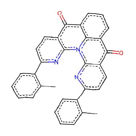 Cc1ccccc1-c1ccc2c(=O)c3cccc4c(=O)c5ccc(-c6ccccc6C)nc5n(c2n1)c34